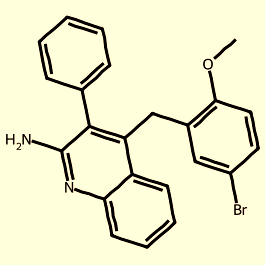 COc1ccc(Br)cc1Cc1c(-c2ccccc2)c(N)nc2ccccc12